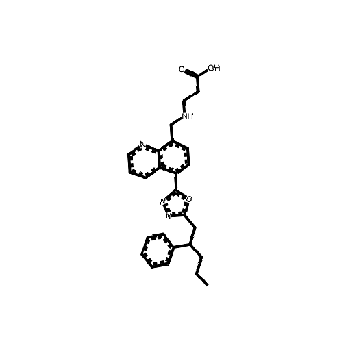 CCCC(Cc1nnc(-c2ccc(CNCCC(=O)O)c3ncccc23)o1)c1ccccc1